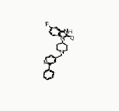 O=c1[nH]c2cc(F)ccc2n1C1CCN(Cc2ccnc(-c3ccccc3)c2)CC1